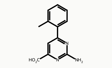 Cc1ccccc1-c1cc(C(=O)O)nc(N)n1